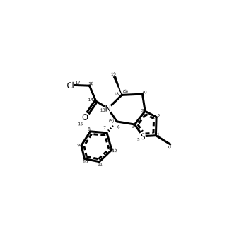 Cc1cc2c(s1)[C@H](c1ccccc1)N(C(=O)CCl)[C@@H](C)C2